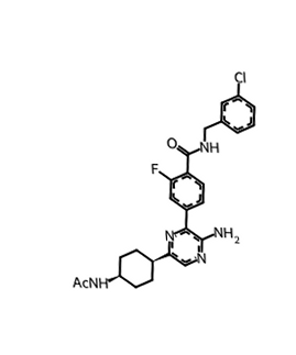 CC(=O)N[C@H]1CC[C@@H](c2cnc(N)c(-c3ccc(C(=O)NCc4cccc(Cl)c4)c(F)c3)n2)CC1